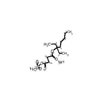 CCCCCC(CC)(CC)OC(=O)CCC(=O)OS(=O)(=O)O.[NaH]